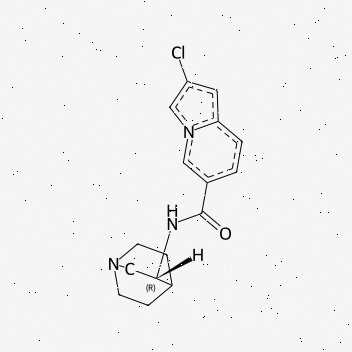 O=C(N[C@H]1CN2CCC1CC2)c1ccc2cc(Cl)cn2c1